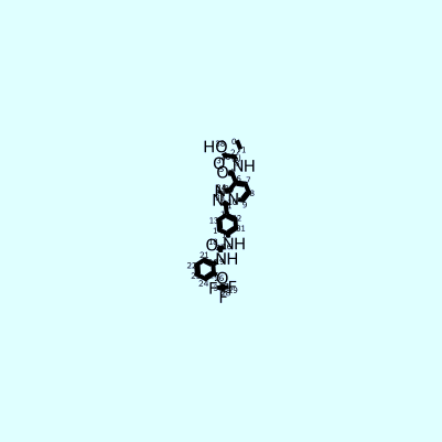 CC[C@H](NC(=O)c1cccn2c(-c3ccc(NC(=O)Nc4ccccc4OC(F)(F)F)cc3)nnc12)C(=O)O